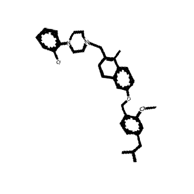 COc1cc(CC(C)C)ccc1COc1ccc2c(c1)CCC(CN1CCN(c3ccccc3Cl)CC1)=C2C